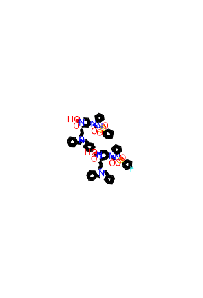 O=C(O)N1CCC(n2c(=O)n(S(=O)(=O)c3ccc(F)cc3)c3ccccc32)C[C@@H]1CCCN(Cc1ccccc1)Cc1ccccc1.O=C(O)N1CCC(n2c(=O)n(S(=O)(=O)c3ccccc3)c3ccccc32)C[C@@H]1CCCN(Cc1ccccc1)Cc1ccccc1